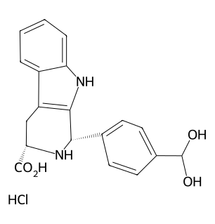 Cl.O=C(O)[C@@H]1Cc2c([nH]c3ccccc23)[C@H](c2ccc(C(O)O)cc2)N1